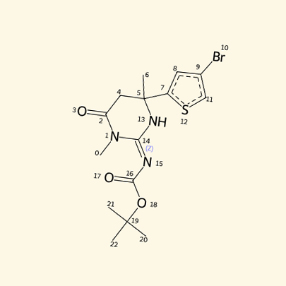 CN1C(=O)CC(C)(c2cc(Br)cs2)N/C1=N/C(=O)OC(C)(C)C